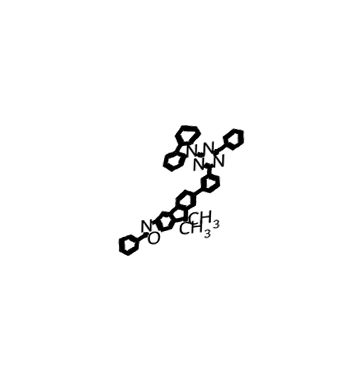 CC1(C)c2cc(-c3cccc(-c4nc(-c5ccccc5)nc(-n5c6ccccc6c6ccccc65)n4)c3)ccc2-c2cc3nc(-c4ccccc4)oc3cc21